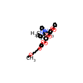 CCCOCCCCCCOc1ccc(OC(=O)[C@H]2CC[C@H](OC(=O)c3ccc(OC(=O)C4CCCCC4)cc3/C=N/N(/C(=N/c3ccccc3C)C(C)C)c3ccccc3)CC2)cc1